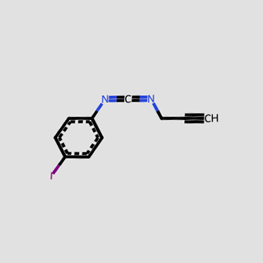 C#CCN=C=Nc1ccc(I)cc1